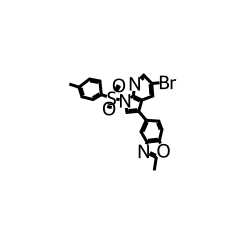 Cc1ccc(S(=O)(=O)n2cc(-c3ccc4oc(C)nc4c3)c3cc(Br)cnc32)cc1